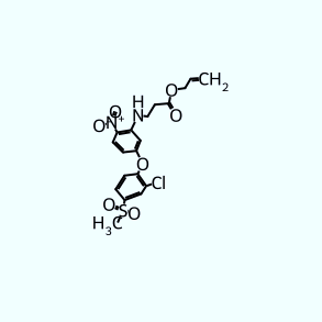 C=CCOC(=O)CCNc1cc(Oc2ccc(S(C)(=O)=O)cc2Cl)ccc1[N+](=O)[O-]